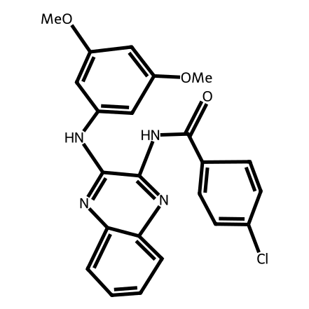 COc1cc(Nc2nc3ccccc3nc2NC(=O)c2ccc(Cl)cc2)cc(OC)c1